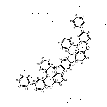 c1ccc(-c2ccc3c(c2)B2c4ccccc4-n4c5cc6c(cc5c5ccc(c2c54)O3)c2ccc3c4c2n6-c2ccccc2B4c2cc(-c4ccccc4)ccc2O3)cc1